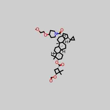 COCCOC1CCN(C(=O)[C@]23CC[C@@H](C4(C)CC4)[C@@H]2[C@H]2CC[C@@H]4[C@@]5(C)CC[C@H](OC(=O)[C@H]6C[C@@H](OC=O)C6(C)C)C(C)(C)[C@@H]5CC[C@@]4(C)[C@]2(C)CC3)CC1